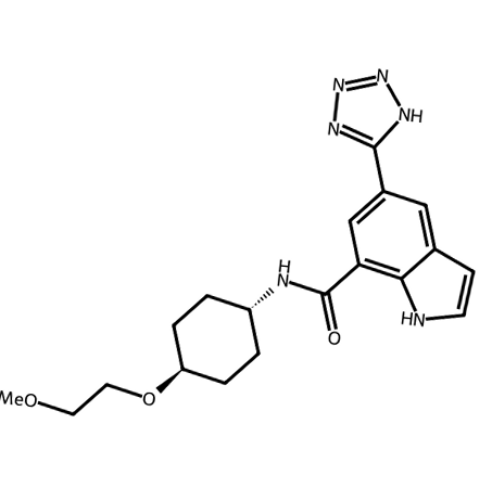 COCCO[C@H]1CC[C@H](NC(=O)c2cc(-c3nnn[nH]3)cc3cc[nH]c23)CC1